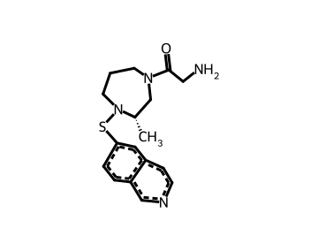 C[C@H]1CN(C(=O)CN)CCCN1Sc1ccc2cnccc2c1